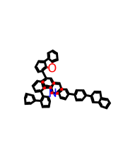 c1ccc(-c2ccccc2-c2c(-c3ccccc3)cccc2N(c2ccc(-c3ccc(-c4ccc5ccccc5c4)cc3)cc2)c2ccc(-c3cccc4c3oc3ccccc34)cc2)cc1